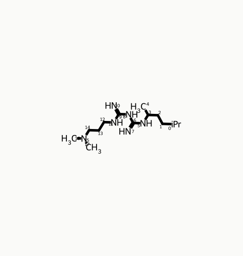 CC(C)CCC(C)NC(=N)NC(=N)NCCCN(C)C